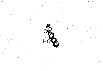 CC(C)(C)OC(=O)N1CCC2(CC1)Cc1ncccc1C2O